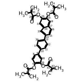 C=C(C)C(=O)Oc1ccc(-c2ccc(-c3ccc4cc(OC(=O)C(=C)C)c(OC(=O)C(=C)C)cc4c3)cc2)cc1OC(=O)C(=C)C